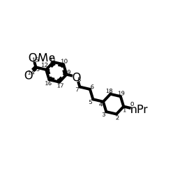 CCCC1CCC(CCCOc2ccc(C(=O)OC)cc2)CC1